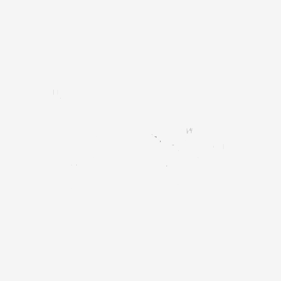 C=CCc1cc(C=C2C(=O)C3(C)CCC2C3(C)C)ccc1OC